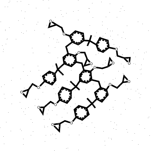 CC(C)(c1ccc(OCC2CO2)cc1)c1ccc(OCC2CO2)c(Cc2cc(C(C)(C)c3ccc(OCC4CO4)cc3)cc(Cc3cc(C(C)(C)c4ccc(OCC5CO5)cc4)cc(Cc4cc(C(C)(C)c5ccc(OCC6CO6)cc5)ccc4OCC4CO4)c3OCC3CO3)c2OCC2CO2)c1